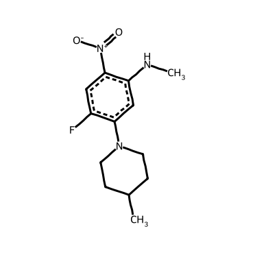 CNc1cc(N2CCC(C)CC2)c(F)cc1[N+](=O)[O-]